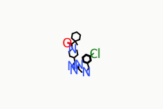 CN1Cc2cc(Cl)ccc2-n2c(nnc2C2CCN(C(=O)C3(C)CCCCC3)CC2)C1